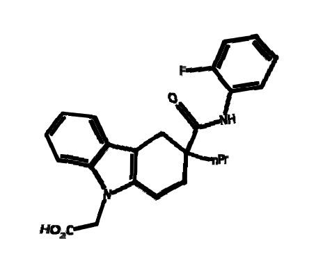 CCCC1(C(=O)Nc2ccccc2F)CCc2c(c3ccccc3n2CC(=O)O)C1